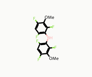 COc1c(F)cc(F)c(Bc2c(F)cc(F)c(OC)c2F)c1F